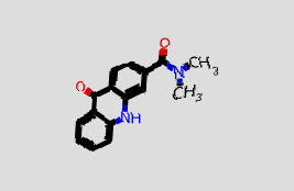 CN(C)C(=O)c1ccc2c(=O)c3ccccc3[nH]c2c1